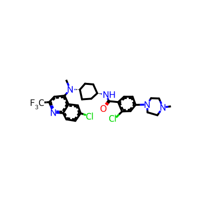 CN1CCN(c2ccc(C(=O)N[C@H]3CC[C@@H](N(C)c4cc(C(F)(F)F)nc5ccc(Cl)cc45)CC3)c(Cl)c2)CC1